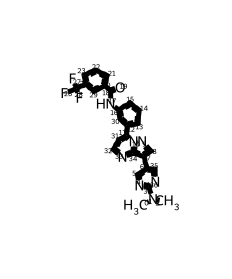 CN(C)c1ncc(-c2cnn3c(-c4cccc(NC(=O)c5cccc(C(F)(F)F)c5)c4)ccnc23)cn1